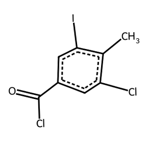 Cc1c(Cl)cc(C(=O)Cl)cc1I